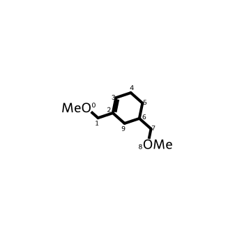 COCC1=CCCC(COC)C1